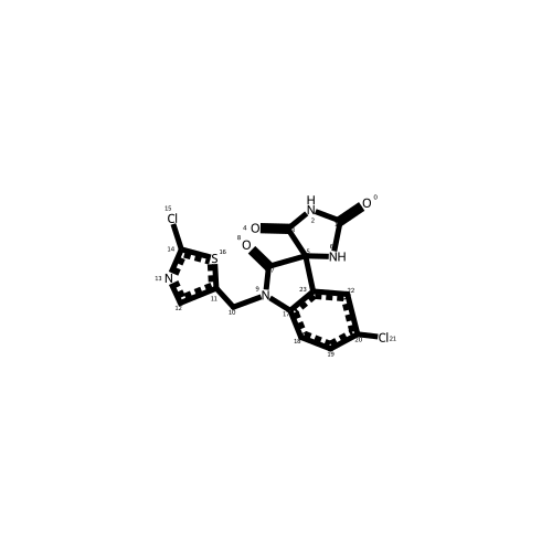 O=C1NC(=O)C2(N1)C(=O)N(Cc1cnc(Cl)s1)c1ccc(Cl)cc12